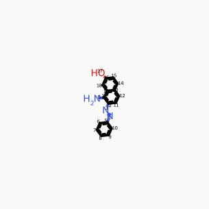 Nc1c(N=Nc2ccccc2)ccc2ccc(O)cc12